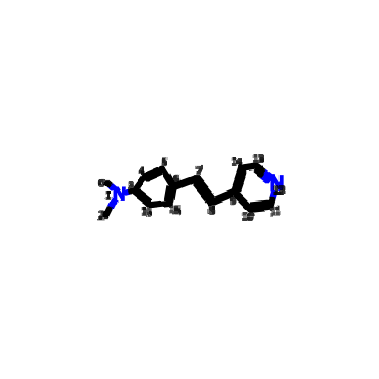 CN(C)c1ccc(C=Cc2ccncc2)cc1